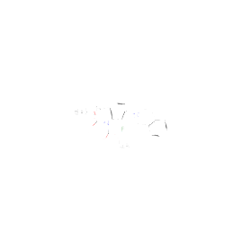 Cc1ccc2c(c1)CCN(c1ccc([N+](=O)[O-])c(N(C(=O)OC(C)(C)C)C(=O)OC(C)(C)C)c1F)C2